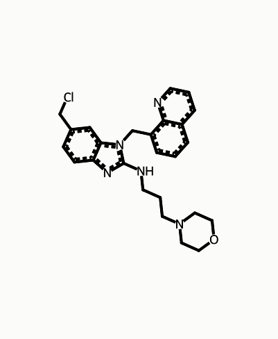 ClCc1ccc2nc(NCCCN3CCOCC3)n(Cc3cccc4cccnc34)c2c1